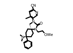 COCCN1C(=O)N(c2cnc(C#N)cc2C)C[C@]12CC[C@](c1ccccc1)(N(C)C)CC2